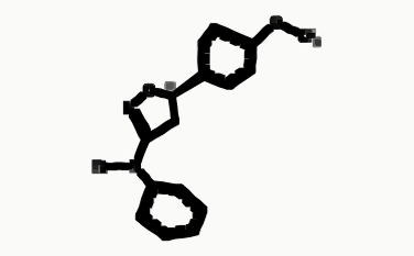 CCN(C1=NO[C@@H](c2ccc(OC(F)(F)F)cc2)C1)c1ccccc1